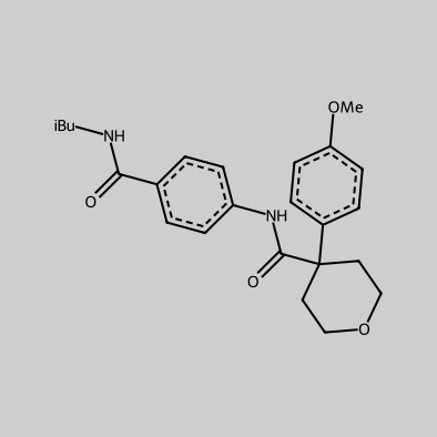 CCC(C)NC(=O)c1ccc(NC(=O)C2(c3ccc(OC)cc3)CCOCC2)cc1